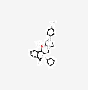 COc1ccc(N2CCN(Cc3c(C(=O)O)c4ccccc4c(=O)n3-c3ccccc3)CC2)cc1